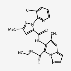 COc1cc(C(=O)Nc2c(C)cc3ccnn3c2C(=O)NCC#N)n(-c2ncccc2Cl)n1